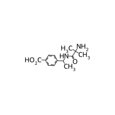 CC(NC(=O)C(C)(C)N)c1ccc(C(=O)O)cc1